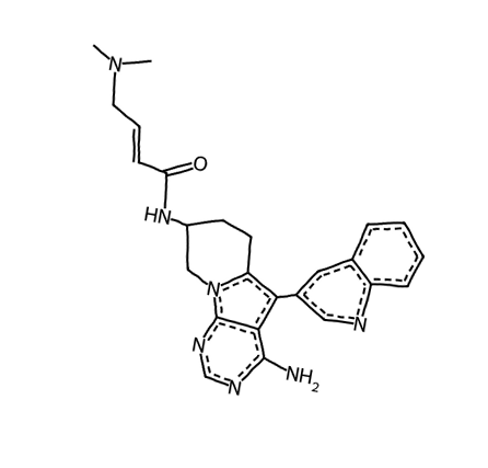 CN(C)CC=CC(=O)NC1CCc2c(-c3cnc4ccccc4c3)c3c(N)ncnc3n2C1